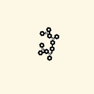 c1ccc(N(Cc2ccc(-c3ccc(N(c4ccccc4)c4ccc5c(c4)c4ccccc4n5-c4ccccc4)cc3)cc2)c2ccc3c(c2)c2ccccc2n3-c2ccccc2)cc1